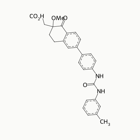 COC1(CC(=O)O)CCc2cc(-c3ccc(NC(=O)Nc4cccc(C)c4)cc3)ccc2C1=O